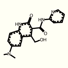 CN(C)c1ccc2[nH]c(=O)c(C(=O)Nc3ccccn3)c(CO)c2c1